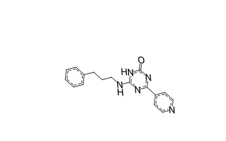 O=c1nc(-c2ccncc2)nc(NCCCc2ccccc2)[nH]1